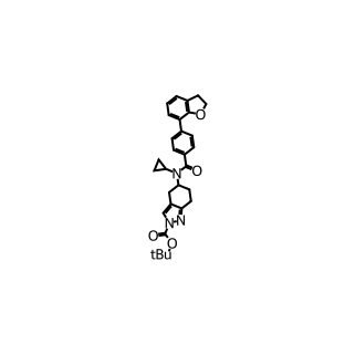 CC(C)(C)OC(=O)n1cc2c(n1)CCC(N(C(=O)c1ccc(-c3cccc4c3OCC4)cc1)C1CC1)C2